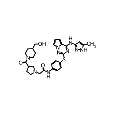 Cc1cc(Nc2nc(Sc3ccc(NC(=O)CN4CCC(C(=O)N5CCC(CO)CC5)C4)cc3)nn3cccc23)n[nH]1